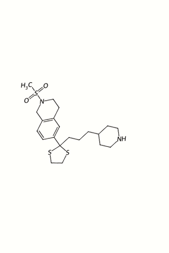 CS(=O)(=O)N1CCc2cc(C3(CCCC4CCNCC4)SCCS3)ccc2C1